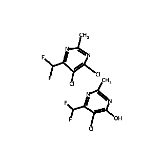 Cc1nc(Cl)c(Cl)c(C(F)F)n1.Cc1nc(O)c(Cl)c(C(F)F)n1